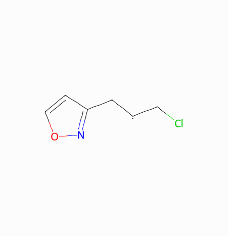 ClC[CH]Cc1ccon1